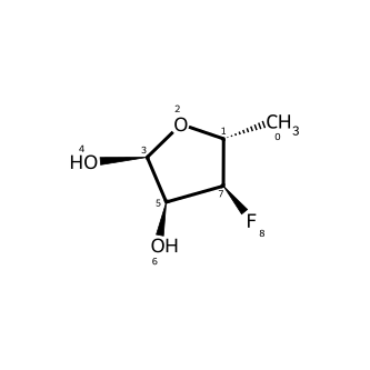 C[C@H]1O[C@H](O)[C@H](O)[C@@H]1F